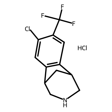 Cl.FC(F)(F)c1cc2c(cc1Cl)C1CNCC2C1